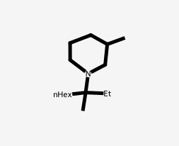 CCCCCCC(C)(CC)N1CCCC(C)C1